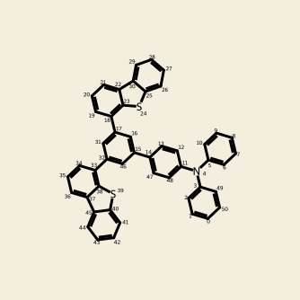 c1ccc(N(c2ccccc2)c2ccc(-c3cc(-c4cccc5c4sc4ccccc45)cc(-c4cccc5c4sc4ccccc45)c3)cc2)cc1